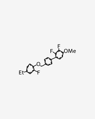 CCc1ccc(OCc2ccc(-c3ccc(OC)c(F)c3F)cc2)c(F)c1